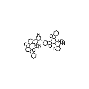 c1ccc2c(c1)oc1c2ccc2oc3ccc4c5cncc(-c6ccc7oc8c(c7c6)c6oc7ccccc7c6c6c8c7ncccc7c7nccn76)c5c5nccn5c4c3c21